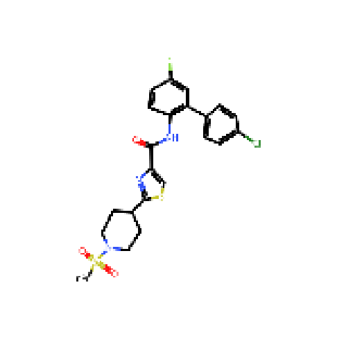 CCCS(=O)(=O)N1CCC(c2nc(C(=O)Nc3ccc(F)cc3-c3ccc(Cl)cc3)cs2)CC1